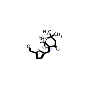 CC1(C)CC(=O)/C(=C/c2ccc(C=O)s2)C(C)(C)N1